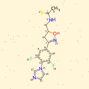 CC(=S)NCC1CC(c2cc(F)c(-n3ccnc3)c(F)c2)=NO1